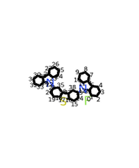 Fc1cccc2c3ccccc3n(-c3ccc4sc5ccc(-n6c7ccccc7c7ccccc76)cc5c4c3)c12